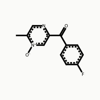 Cc1cnc(C(=O)c2ccc(F)cc2)c[n+]1[O-]